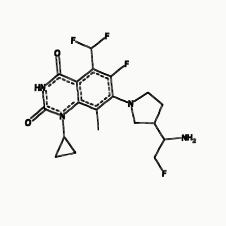 Cc1c(N2CCC(C(N)CF)C2)c(F)c(C(F)F)c2c(=O)[nH]c(=O)n(C3CC3)c12